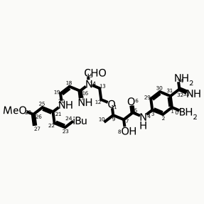 Bc1cc(NC(=O)C(O)C(C)OCCN(C=O)C(=N)/C=C\NC(/C=C\C(C)CC)=C/C(=C)OC)ccc1C(=N)N